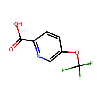 O=C(O)c1ccc(OC(F)(F)F)cn1